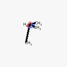 CCCCCCCCCCCCCCNC(=O)C(C)(C)C(=O)N(CCCC)CCCC